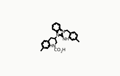 Cc1ccc(CC(CNC(=O)O)n2c(=N)n(Cc3ccc(C)cc3)c3ccccc32)cc1